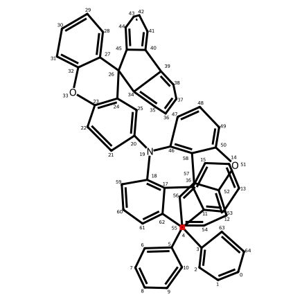 c1ccc(C2(c3ccccc3)c3ccccc3-c3c(N(c4ccc5c(c4)C4(c6ccccc6O5)c5ccccc5-c5ccccc54)c4cccc5oc6ccccc6c45)cccc32)cc1